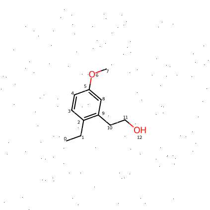 CCc1ccc(OC)cc1CCO